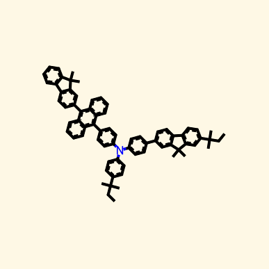 CCC(C)(C)c1ccc(N(c2ccc(-c3ccc4c(c3)C(C)(C)c3cc(C(C)(C)CC)ccc3-4)cc2)c2ccc(-c3c4ccccc4c(-c4ccc5c(c4)C(C)(C)c4ccccc4-5)c4ccccc34)cc2)cc1